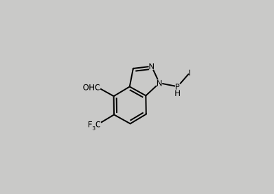 O=Cc1c(C(F)(F)F)ccc2c1cnn2PI